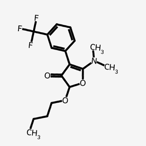 CCCCOC1OC(N(C)C)=C(c2cccc(C(F)(F)F)c2)C1=O